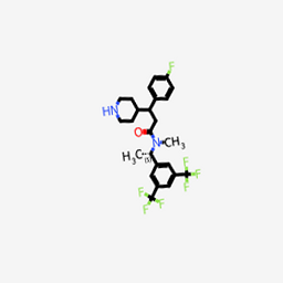 C[C@@H](c1cc(C(F)(F)F)cc(C(F)(F)F)c1)N(C)C(=O)CC(c1ccc(F)cc1)C1CCNCC1